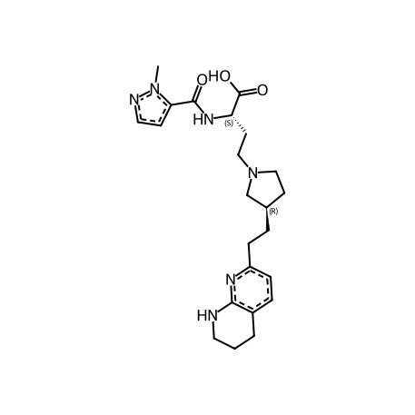 Cn1nccc1C(=O)N[C@@H](CCN1CC[C@@H](CCc2ccc3c(n2)NCCC3)C1)C(=O)O